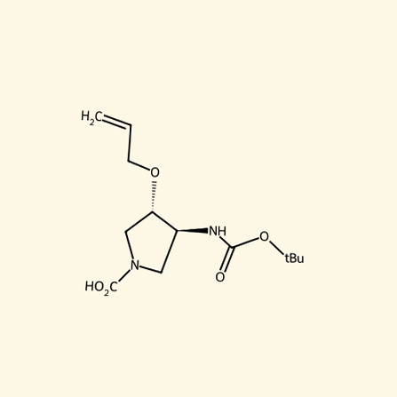 C=CCO[C@H]1CN(C(=O)O)C[C@@H]1NC(=O)OC(C)(C)C